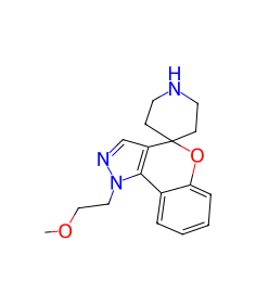 COCCn1ncc2c1-c1ccccc1OC21CCNCC1